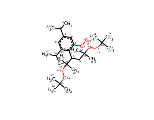 CC(C)c1cc(OO)c(C(CC(C)(C)OOC(C)(C)C)C(C)(C)OOC(C)(C)C)c(C(C)C)c1